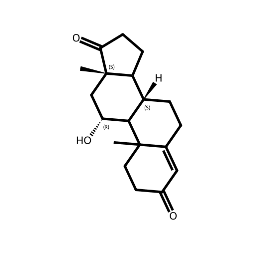 CC12CCC(=O)C=C1CC[C@@H]1C2[C@H](O)C[C@]2(C)C(=O)CCC12